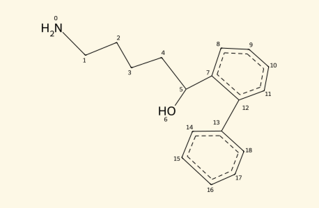 NCCCCC(O)c1ccccc1-c1ccccc1